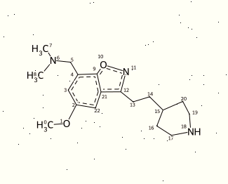 COc1cc(CN(C)C)c2onc(CCC3CCNCC3)c2c1